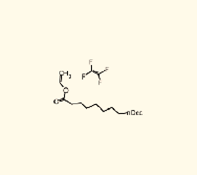 C=COC(=O)CCCCCCCCCCCCCCCCC.FC(F)=C(F)F